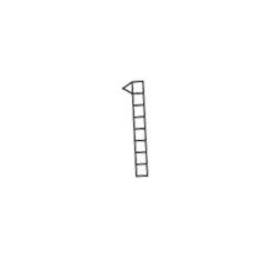 C1CC2C1C1C2C2C1C1C2C2C1C1C3CC4CC43C21